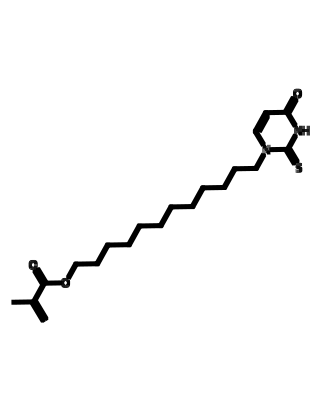 C=C(C)C(=O)OCCCCCCCCCCCCn1ccc(=O)[nH]c1=S